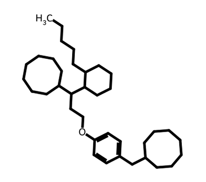 CCCCCC1CCCCC1C(CCOc1ccc(CC2CCCCCCC2)cc1)C1CCCCCCC1